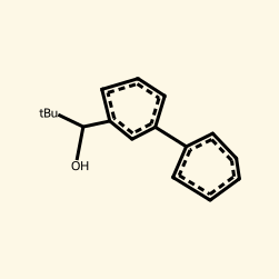 CC(C)(C)C(O)c1cccc(-c2ccccc2)c1